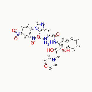 N[C@@H](Cc1cn(-c2ccc([N+](=O)[O-])cc2[N+](=O)[O-])cn1)C(=O)N[C@@H](CC1CCCCC1)[C@@H](O)[C@@H](O)CN1CCOCC1